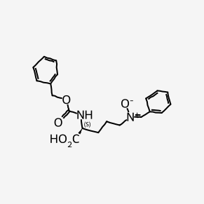 O=C(N[C@@H](CCC[N+]([O-])=Cc1ccccc1)C(=O)O)OCc1ccccc1